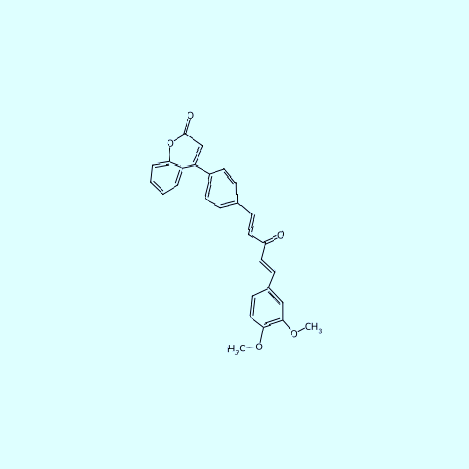 COc1ccc(C=CC(=O)C=Cc2ccc(-c3cc(=O)oc4ccccc34)cc2)cc1OC